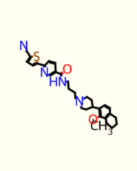 COc1c(C2CCN(CCCCNC(=O)c3ccc(-c4ccc(C#N)s4)nc3)CC2)ccc2c1CCCC2